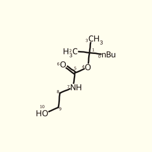 CCCCC(C)(C)OC(=O)NCCO